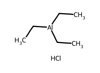 C[CH2][Al]([CH2]C)[CH2]C.Cl